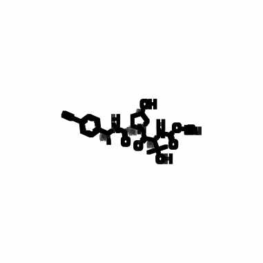 C#Cc1ccc([C@H](C)NC(=O)[C@@H]2C[C@@H](O)CN2C(=O)[C@@H](NC(=O)OC(C)(C)C)C(C)(C)O)cc1